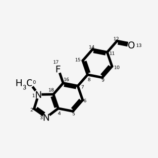 Cn1cnc2ccc(-c3ccc(C=O)cc3)c(F)c21